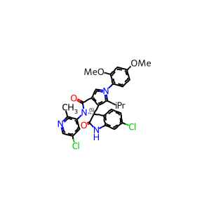 COc1ccc(-n2cc3c(c2C(C)C)[C@@]2(C(=O)Nc4cc(Cl)ccc42)N(c2cc(Cl)cnc2C)C3=O)c(OC)c1